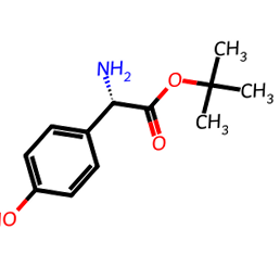 CC(C)(C)OC(=O)[C@@H](N)c1ccc(O)cc1